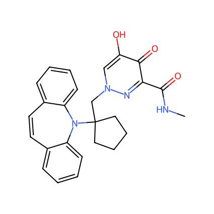 CNC(=O)c1nn(CC2(N3c4ccccc4C=Cc4ccccc43)CCCC2)cc(O)c1=O